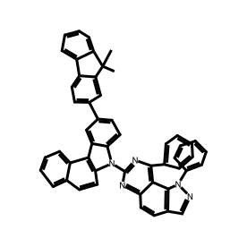 CC1(C)c2ccccc2-c2ccc(-c3ccc4c(c3)c3c5ccccc5ccc3n4-c3nc(-c4ccccc4)c4c(ccc5cnn(-c6ccccc6)c54)n3)cc21